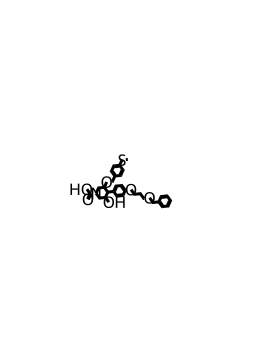 CSc1ccc(COC2CN(C(=O)O)CC(O)C2c2ccc(OCCCOCc3ccccc3)cc2)cc1